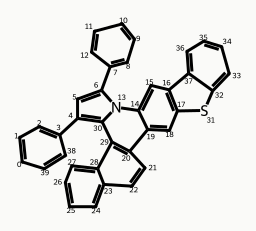 c1ccc(-c2cc(-c3ccccc3)n3c4cc5c(cc4c4ccc6ccccc6c4c23)sc2ccccc25)cc1